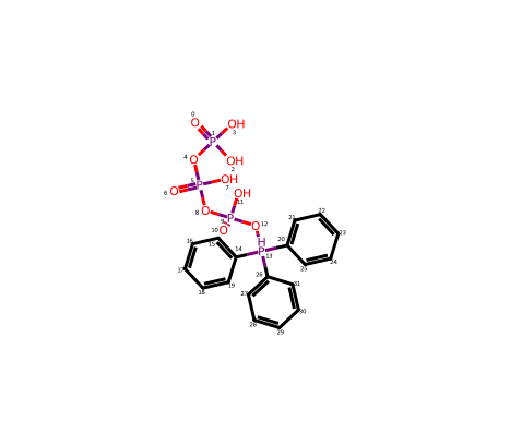 O=P(O)(O)OP(=O)(O)OP(=O)(O)O[PH](c1ccccc1)(c1ccccc1)c1ccccc1